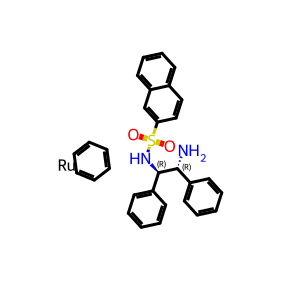 N[C@H](c1ccccc1)[C@H](NS(=O)(=O)c1ccc2ccccc2c1)c1ccccc1.[Ru].c1ccccc1